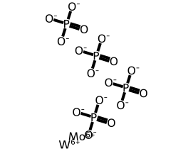 O=P([O-])([O-])[O-].O=P([O-])([O-])[O-].O=P([O-])([O-])[O-].O=P([O-])([O-])[O-].[Mo+6].[W+6]